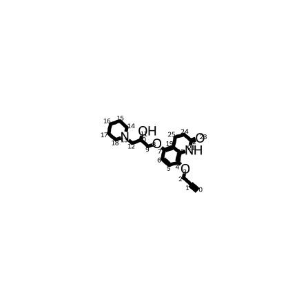 C#CCOc1ccc(OCC(O)CN2CCCCC2)c2c1NC(=O)CC2